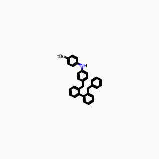 CC(C)(C)c1ccc(Nc2ccc(Cc3ccccc3-c3ccccc3Cc3ccccc3)cc2)cc1